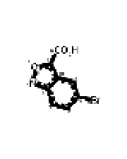 O=C(O)c1onc2ccc(Br)cc12